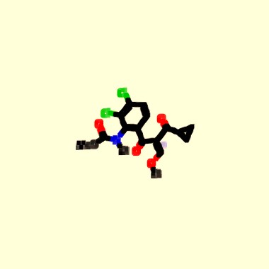 CCO/C=C(\C(=O)c1ccc(Cl)c(Cl)c1N(CC)C(=O)OC)C(=O)C1CC1